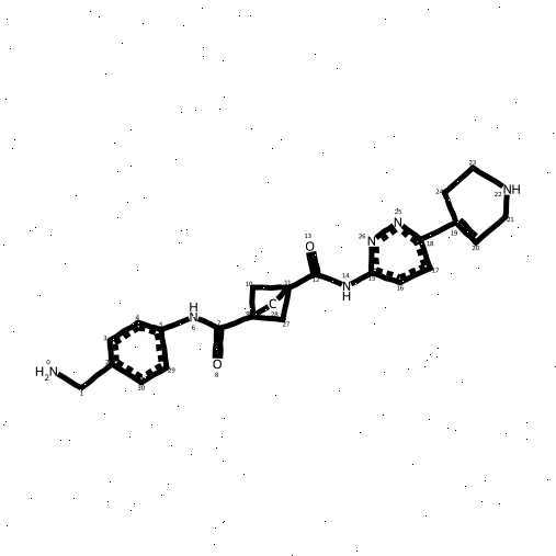 NCc1ccc(NC(=O)C23CC(C(=O)Nc4ccc(C5=CCNCC5)nn4)(C2)C3)cc1